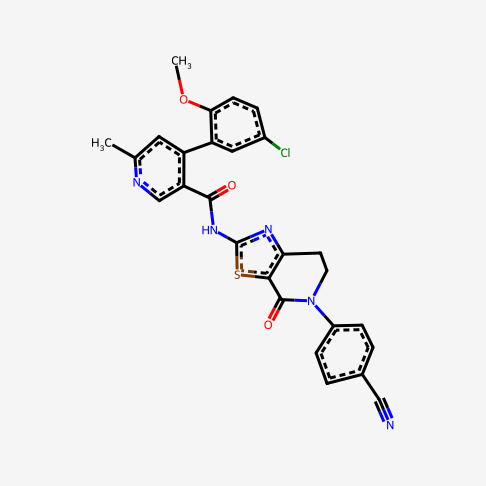 COc1ccc(Cl)cc1-c1cc(C)ncc1C(=O)Nc1nc2c(s1)C(=O)N(c1ccc(C#N)cc1)CC2